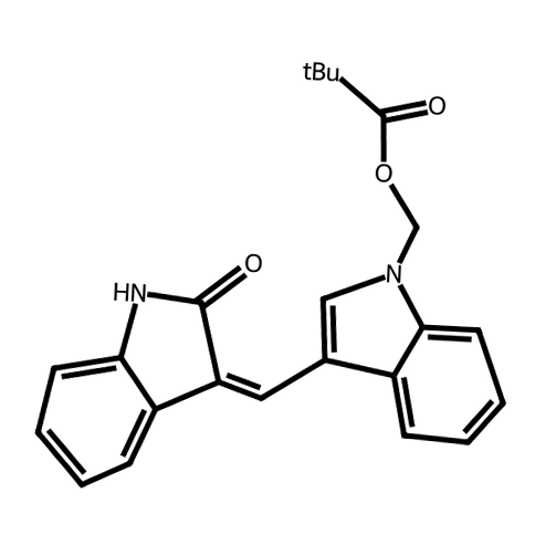 CC(C)(C)C(=O)OCn1cc(C=C2C(=O)Nc3ccccc32)c2ccccc21